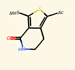 CSc1sc(C(C)=O)c2c1C(=O)NCC2